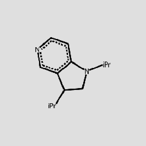 CC(C)C1CN(C(C)C)c2ccncc21